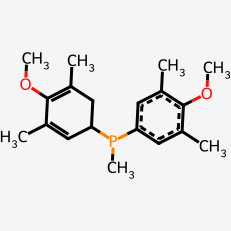 COC1=C(C)CC(P(C)c2cc(C)c(OC)c(C)c2)C=C1C